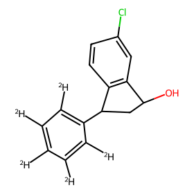 [2H]c1c([2H])c([2H])c(C2CC(O)c3cc(Cl)ccc32)c([2H])c1[2H]